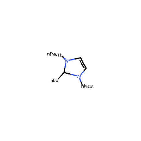 CCCCCCCCCN1C=CN(CCCCC)C1CCCC